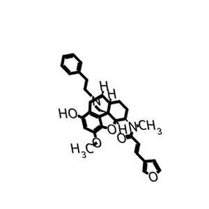 COc1cc(O)c2c3c1O[C@H]1[C@@H](N(C)C(=O)/C=C/c4ccoc4)CC[C@H]4[C@@H](C2)N(CCc2ccccc2)CC[C@@]341